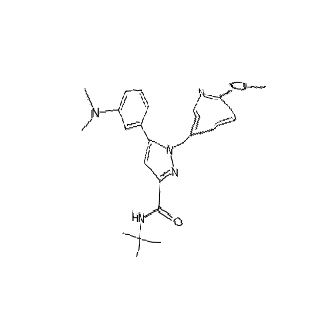 COc1ccc(-n2nc(C(=O)NC(C)(C)C)cc2-c2cccc(N(C)C)c2)cn1